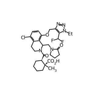 CCn1nnc(COc2ccc(Cl)c3c2C(CN2CCCC2=O)N(C(=O)[C@@H]2CCCC[C@]2(C)C(=O)O)CC3)c1C(F)F